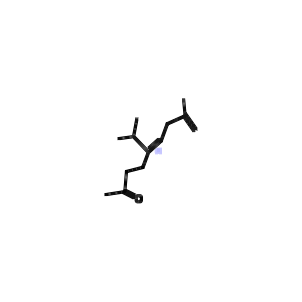 C=C(C)C/C=C(/CCC(C)=O)C(C)C